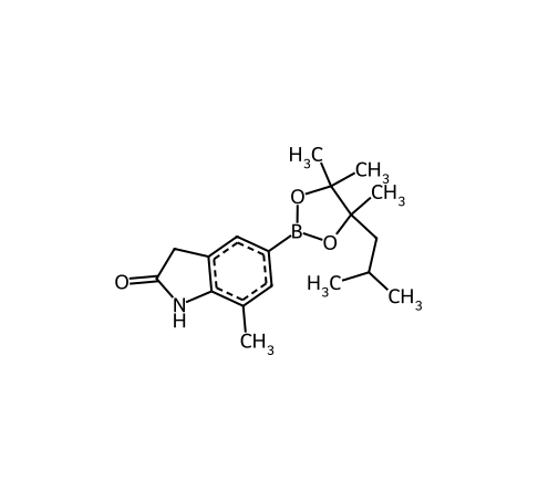 Cc1cc(B2OC(C)(C)C(C)(CC(C)C)O2)cc2c1NC(=O)C2